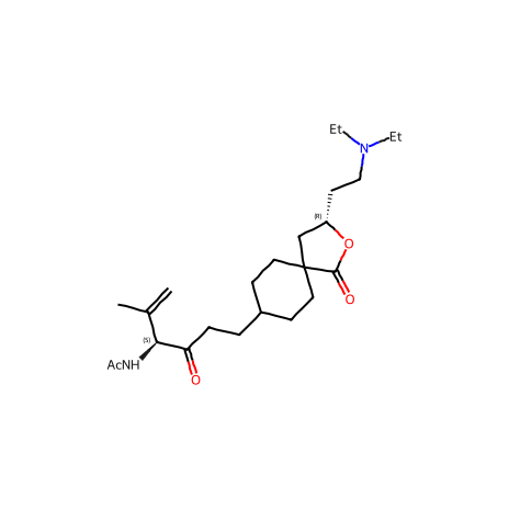 C=C(C)[C@H](NC(C)=O)C(=O)CCC1CCC2(CC1)C[C@H](CCN(CC)CC)OC2=O